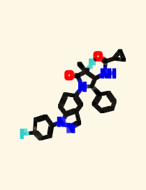 C[C@]1(F)C(=O)N(c2ccc3c(cnn3-c3ccc(F)cc3)c2)[C@H](c2ccccc2)C1NC(=O)C1CC1